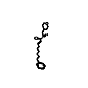 O=C(C=CCCCCCCc1ccccc1)NCC1CCOCC1